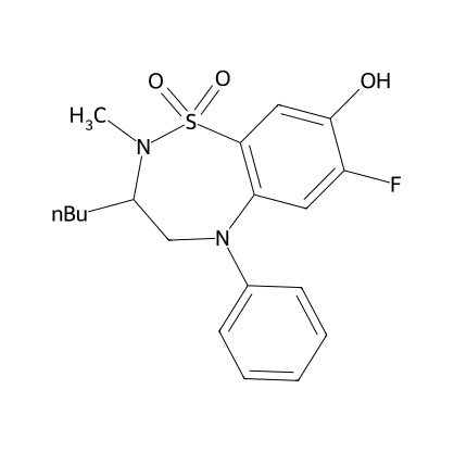 CCCCC1CN(c2ccccc2)c2cc(F)c(O)cc2S(=O)(=O)N1C